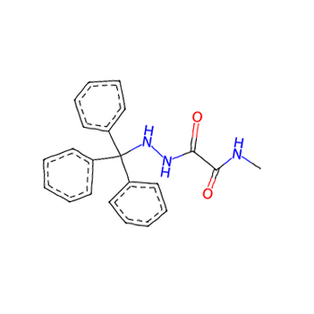 CNC(=O)C(=O)NNC(c1ccccc1)(c1ccccc1)c1ccccc1